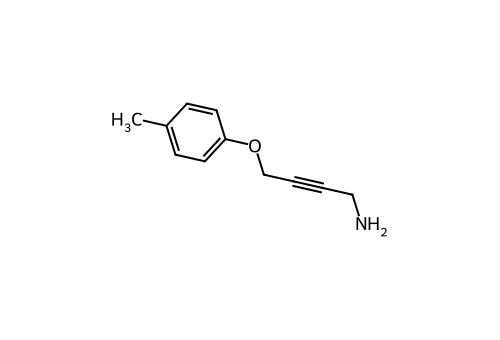 Cc1ccc(OCC#CCN)cc1